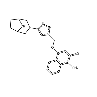 Cn1c(=O)cc(OCc2cn(C3CC4CCC(C3)N4)nn2)c2ccccc21